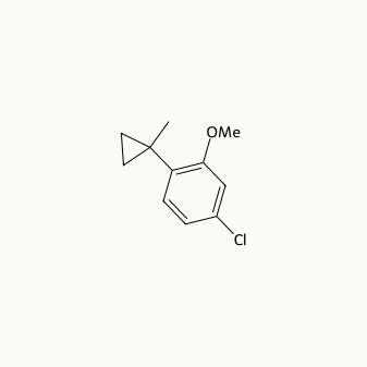 COc1cc(Cl)ccc1C1(C)CC1